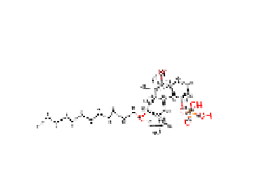 CCCCCCCCCCCCOc1cc(C(C)(C)C)c(-c2c(CBr)cccc2OP(=O)(O)O)cc1C(C)(C)C